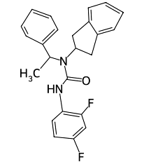 CC(c1ccccc1)N(C(=O)Nc1ccc(F)cc1F)C1Cc2ccccc2C1